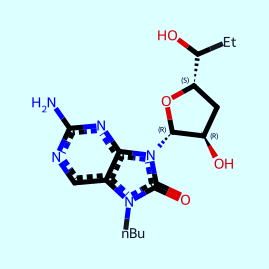 CCCCn1c(=O)n([C@@H]2O[C@H](C(O)CC)C[C@H]2O)c2nc(N)ncc21